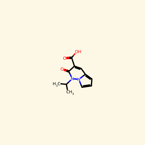 CC(C)n1c(=O)c(C(=O)O)cc2cccn21